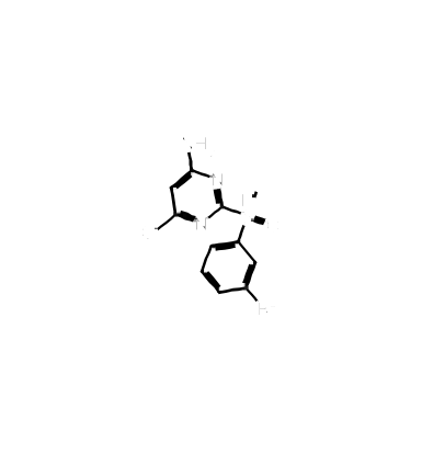 C[SH](=O)(c1cccc(Br)c1)c1nc(N)cc(Cl)n1